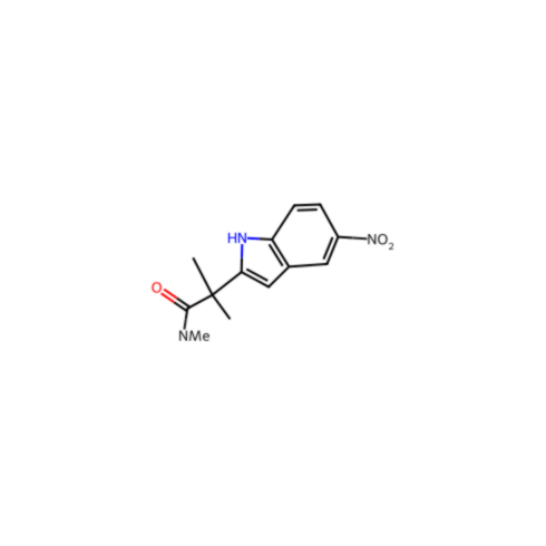 CNC(=O)C(C)(C)c1cc2cc([N+](=O)[O-])ccc2[nH]1